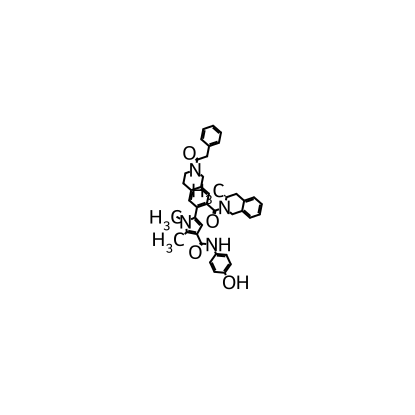 Cc1c(C(=O)Nc2ccc(O)cc2)cc(-c2cc3c(cc2C(=O)N2Cc4ccccc4C[C@H]2C)CN(C(=O)Cc2ccccc2)CC3)n1C